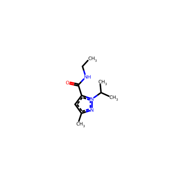 CCNC(=O)c1cc(C)nn1C(C)C